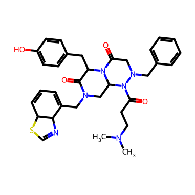 CN(C)CCC(=O)N1C2CN(CC3=CC=CC4SC=NC34)C(=O)C(Cc3ccc(O)cc3)N2C(=O)CN1Cc1ccccc1